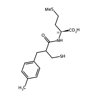 CSCC[C@H](NC(=O)C(CS)Cc1ccc(C)cc1)C(=O)O